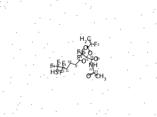 C=C(F)C(=O)OC(OCCCCC(F)(F)C(F)(F)S)(C(=O)NCC(C)=O)C(F)(F)F